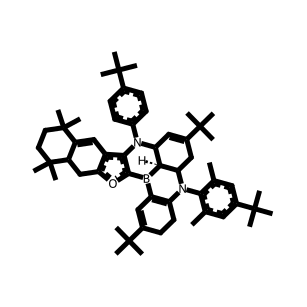 Cc1cc(C(C)(C)C)cc(C)c1N1C2=C(C=C(C(C)(C)C)CC2)B2c3oc4c(c3N(c3ccc(C(C)(C)C)cc3)C3C=C(C(C)(C)C)CC1[C@@H]23)C=C1C(C4)C(C)(C)CCC1(C)C